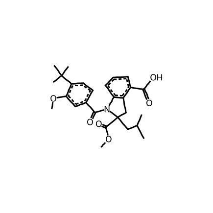 COC(=O)C1(CC(C)C)Cc2c(C(=O)O)cccc2N1C(=O)c1ccc(C(C)(C)C)c(OC)c1